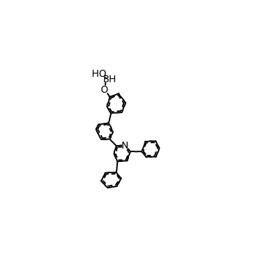 OBOc1cccc(-c2cccc(-c3cc(-c4ccccc4)cc(-c4ccccc4)n3)c2)c1